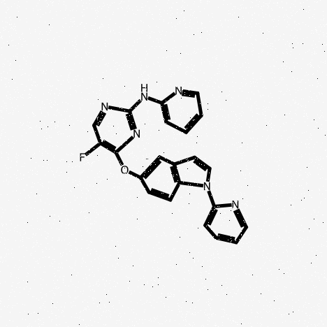 Fc1cnc(Nc2ccccn2)nc1Oc1ccc2c(ccn2-c2ccccn2)c1